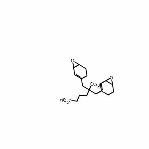 O=C(O)CCCC(CC1=CC2OC2CC1)(CC1=CC2OC2CC1)C(=O)O